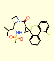 CC(C)[C@@H](NS(C)(=O)=O)[C@@H]1CCN1C(=O)[C@@H]1C[C@@]1(F)c1ccccc1-c1c(F)cccc1F